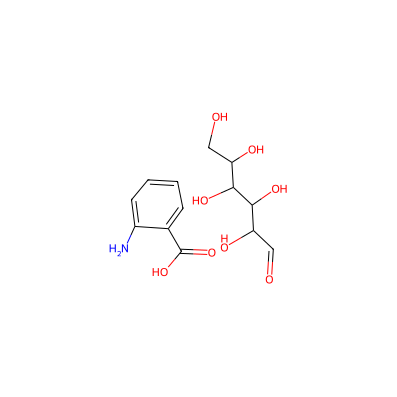 Nc1ccccc1C(=O)O.O=CC(O)C(O)C(O)C(O)CO